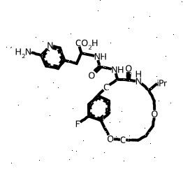 CC(C)C1COCCCCOc2ccc(cc2F)CC(NC(=O)NC(Cc2ccc(N)nc2)C(=O)O)C(=O)N1